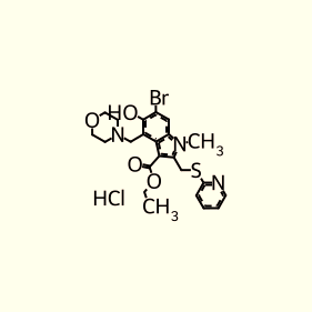 CCOC(=O)c1c(CSc2ccccn2)n(C)c2cc(Br)c(O)c(CN3CCOCC3)c12.Cl